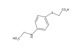 O=C(O)CNc1ccc(SCC(=O)O)cc1